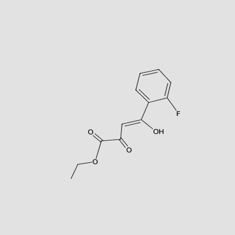 CCOC(=O)C(=O)/C=C(\O)c1ccccc1F